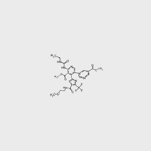 CCNC(=O)Nc1ncc(-c2cncc(C(=O)OC)c2)c(-c2nc(C(F)(F)F)c(C(=O)NCCOC)s2)c1C(=O)OC